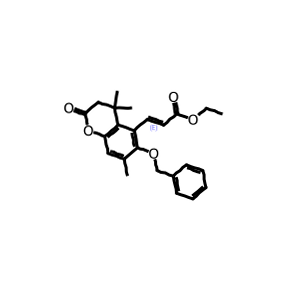 CCOC(=O)/C=C/c1c(OCc2ccccc2)c(C)cc2c1C(C)(C)CC(=O)O2